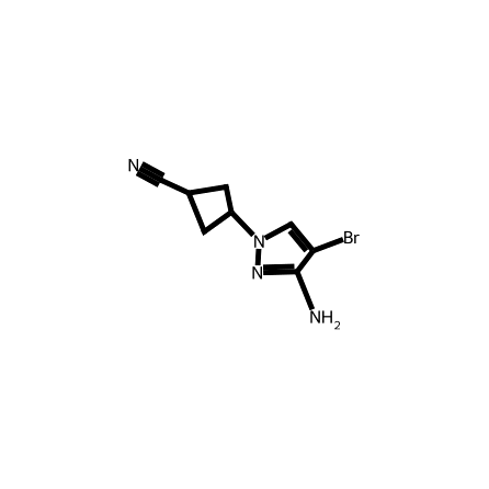 N#CC1CC(n2cc(Br)c(N)n2)C1